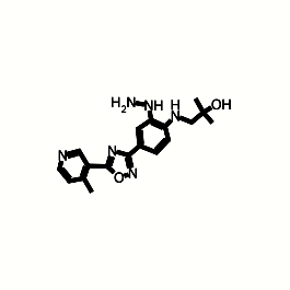 Cc1ccncc1-c1nc(-c2ccc(NCC(C)(C)O)c(NN)c2)no1